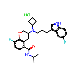 CC(C)NC(=O)c1ccc(F)c2c1CC(N(CCCc1c[nH]c3ccc(F)cc13)C1CCC1)CO2.Cl